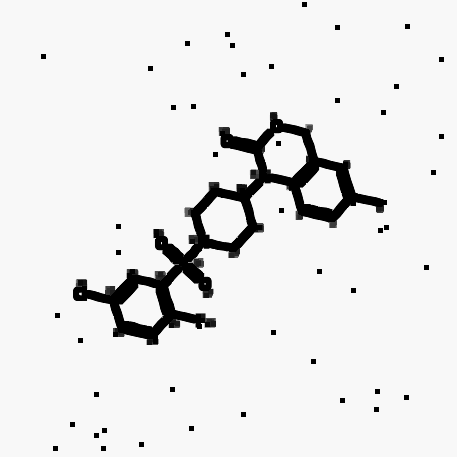 Cc1ccc2c(c1)COC(=O)N2C1CCN(S(=O)(=O)c2cc(Cl)ccc2F)CC1